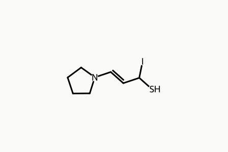 SC(I)/C=C/N1CCCC1